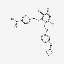 O=C(O)c1ccc(CCn2c(COc3cccc(OC4CCC4)c3)c(Cl)cc(Cl)c2=O)cc1